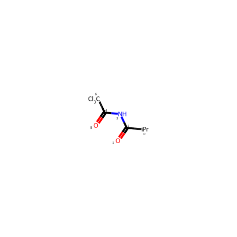 CC(C)C(=O)NC(=O)C(Cl)(Cl)Cl